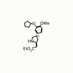 CCOC(=O)C=C1C[C@@H](c2ccc(OC)c(OC3CCCC3)c2)CN1